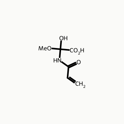 C=CC(=O)NC(O)(OC)C(=O)O